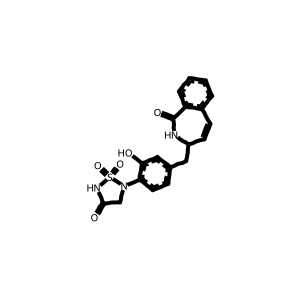 O=C1CN(c2ccc(CC3C=Cc4ccccc4C(=O)N3)cc2O)S(=O)(=O)N1